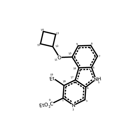 CCOC(=O)c1ncc2[nH]c3cccc(OC4CCC4)c3c2c1CC